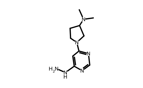 CN(C)C1CCN(c2cc(NN)ncn2)C1